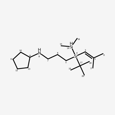 CC(C)=C[Si](CCCNC1CCCC1)([SiH](C)C)C(C)(C)C